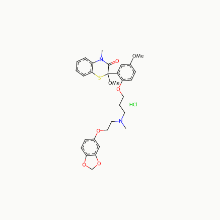 COc1ccc(OCCCN(C)CCOc2ccc3c(c2)OCO3)c(C2(OC)Sc3ccccc3N(C)C2=O)c1.Cl